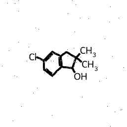 CC1(C)Cc2cc(Cl)ccc2C1O